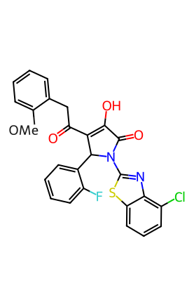 COc1ccccc1CC(=O)C1=C(O)C(=O)N(c2nc3c(Cl)cccc3s2)C1c1ccccc1F